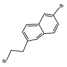 BrCCc1ccc2cc(Br)[c]cc2c1